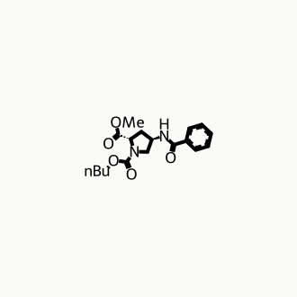 CCCCOC(=O)N1C[C@H](NC(=O)c2ccccc2)C[C@H]1C(=O)OC